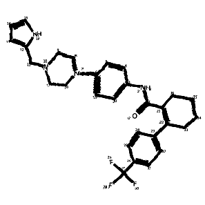 O=C(Nc1ccc(N2CCN(Cc3ccc[nH]3)CC2)cc1)C1=C(c2ccc(C(F)(F)F)cc2)CCCC1